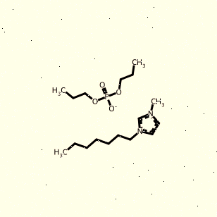 CCCCCCC[n+]1ccn(C)c1.CCCOP(=O)([O-])OCCC